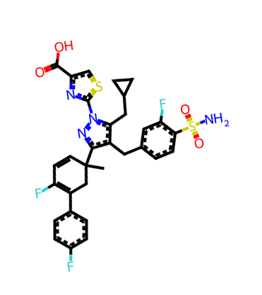 CC1(c2nn(-c3nc(C(=O)O)cs3)c(CC3CC3)c2Cc2ccc(S(N)(=O)=O)c(F)c2)C=CC(F)=C(c2ccc(F)cc2)C1